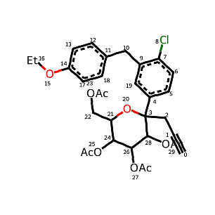 C#CCC1(c2ccc(Cl)c(Cc3ccc(OCC)cc3)c2)OC(COC(C)=O)C(OC(C)=O)C(OC(C)=O)C1OC(C)=O